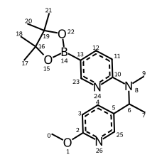 COc1ccc(C(C)N(C)c2ccc(B3OC(C)(C)C(C)(C)O3)cn2)cn1